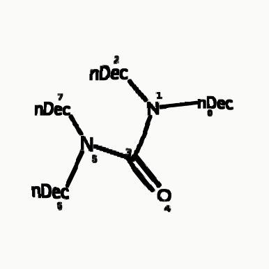 CCCCCCCCCCN(CCCCCCCCCC)C(=O)N(CCCCCCCCCC)CCCCCCCCCC